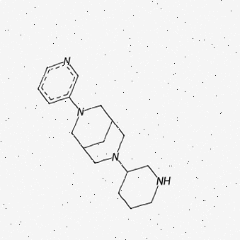 c1cncc(N2CC3CC(C2)CN(C2CCCNC2)C3)c1